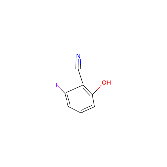 N#Cc1c(O)cccc1I